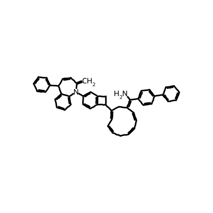 C=C1C=CC(c2ccccc2)c2ccccc2N1c1ccc2c(c1)CC2/C1=C\C=C/C\C=C/C=C\C(=C(\N)c2ccc(-c3ccccc3)cc2)C1